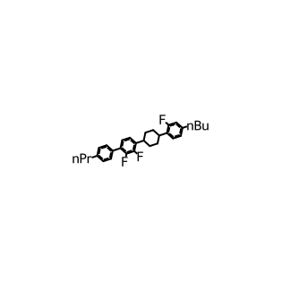 CCCCc1ccc(C2CCC(c3ccc(-c4ccc(CCC)cc4)c(F)c3F)CC2)c(F)c1